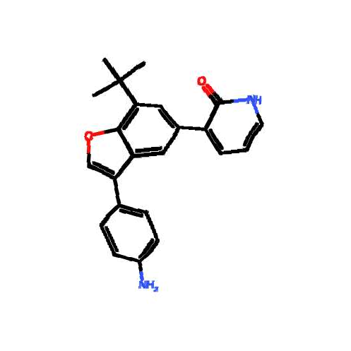 CC(C)(C)c1cc(-c2ccc[nH]c2=O)cc2c(-c3ccc(N)cc3)coc12